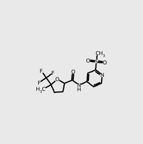 CC1(C(F)(F)F)CCC(C(=O)Nc2ccnc(S(C)(=O)=O)c2)O1